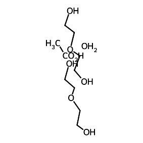 CC(=O)O.O.OCCOCCO.OCCOCCO